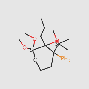 CCCC1(OC)C(P)([Si](C)(C)C)CCC[Si]1(OC)OC